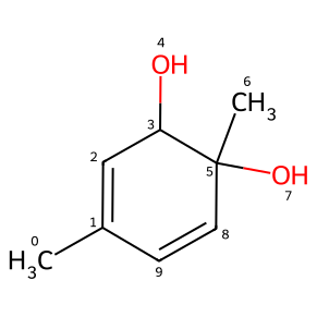 CC1=CC(O)C(C)(O)C=C1